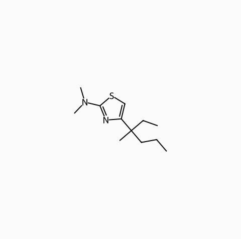 CCCC(C)(CC)c1csc(N(C)C)n1